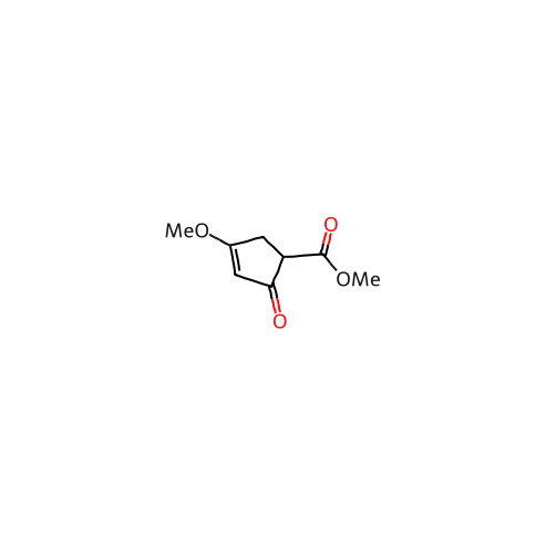 COC(=O)C1CC(OC)=CC1=O